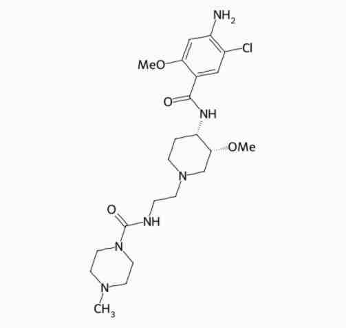 COc1cc(N)c(Cl)cc1C(=O)N[C@H]1CCN(CCNC(=O)N2CCN(C)CC2)C[C@H]1OC